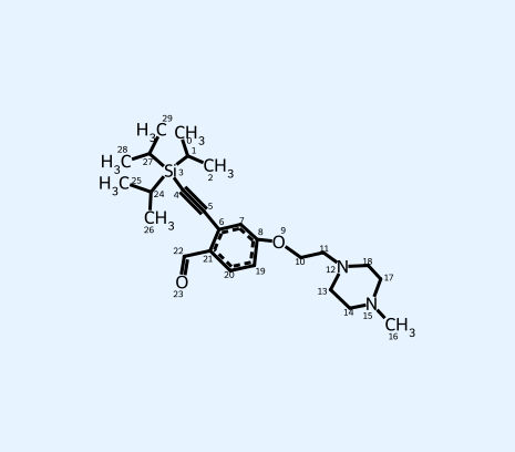 CC(C)[Si](C#Cc1cc(OCCN2CCN(C)CC2)ccc1C=O)(C(C)C)C(C)C